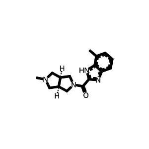 Cc1cccc2nc(C(=O)N3C[C@H]4CN(C)C[C@H]4C3)[nH]c12